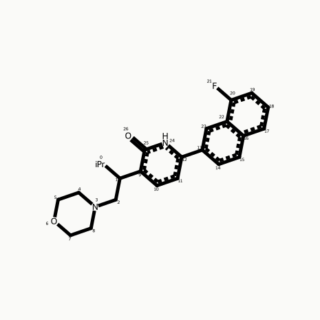 CC(C)C(CN1CCOCC1)c1ccc(-c2ccc3cccc(F)c3c2)[nH]c1=O